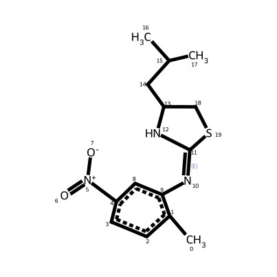 Cc1ccc([N+](=O)[O-])cc1/N=C1\NC(CC(C)C)CS1